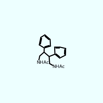 CC(=O)NCC(c1ccccc1)C(CNC(C)=O)c1ccccc1